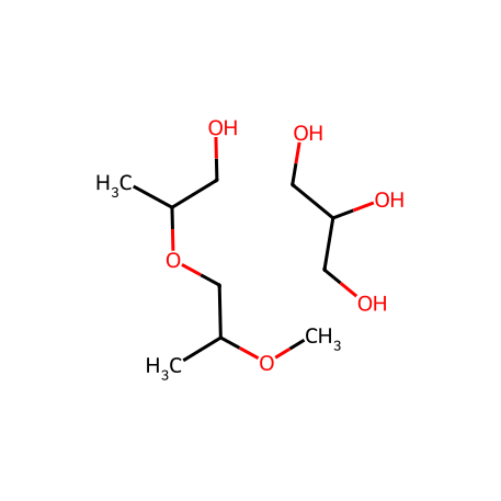 COC(C)COC(C)CO.OCC(O)CO